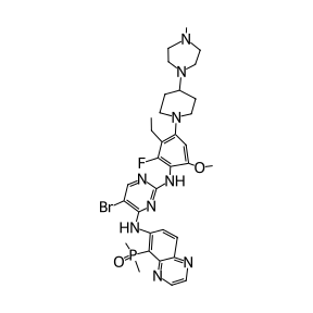 CCc1c(N2CCC(N3CCN(C)CC3)CC2)cc(OC)c(Nc2ncc(Br)c(Nc3ccc4nccnc4c3P(C)(C)=O)n2)c1F